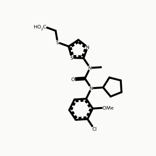 COc1c(Cl)cccc1N(C(=O)N(C)c1ncc(SCC(=O)O)s1)C1CCCC1